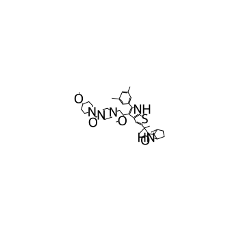 COC1CCN(C(=O)N2CCN(CC(OC)c3c(-c4cc(C)cc(C)c4)[nH]c4sc(C(C)(C)C(=O)C5C6CCC5NC6)cc34)CC2)CC1